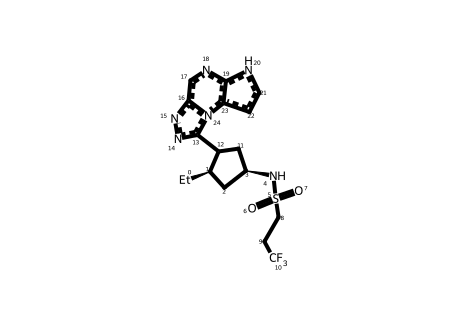 CC[C@@H]1C[C@H](NS(=O)(=O)CCC(F)(F)F)CC1c1nnc2cnc3[nH]ccc3n12